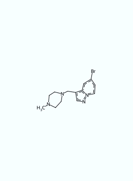 CN1CCN(Cc2cnn3ccc(Br)cc23)CC1